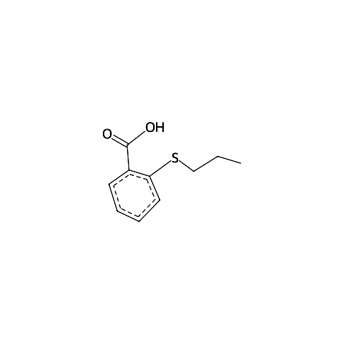 CCCSc1ccccc1C(=O)O